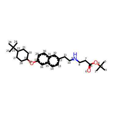 CC(C)(C)OC(=O)CCNCCc1ccc2cc(OC3CCC(C(C)(C)C)CC3)ccc2c1